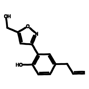 C=CCc1ccc(O)c(-c2cc(CO)on2)c1